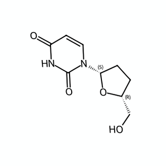 O=c1ccn([C@@H]2CC[C@H](CO)O2)c(=O)[nH]1